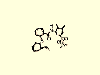 Cc1cc(S(=O)(=O)N(C)C)cc(NC(=O)c2ccccc2Sc2ccccc2C#N)c1C